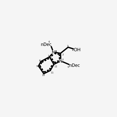 CCCCCCCCCCn1c(CO)[n+](CCCCCCCCCC)c2ccccc21